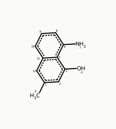 Cc1cc(O)c2c(N)cccc2c1